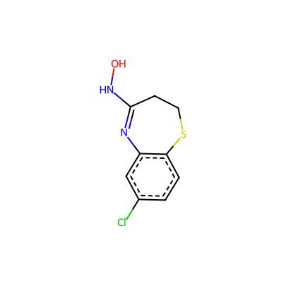 ONC1=Nc2cc(Cl)ccc2SCC1